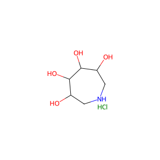 Cl.OC1CNCC(O)C(O)C1O